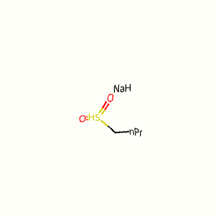 [CH2]CCC[SH](=O)=O.[NaH]